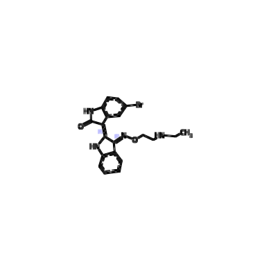 CCNCCO/N=C1/C(=C2/C(=O)Nc3ccc(Br)cc32)Nc2ccccc21